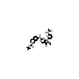 CCn1c(=O)c2cnc(Nc3ccc4c(c3)CN(C(=O)OC(C)(C)C)CC4)nc2n1-c1cccc(NC(C)=O)n1